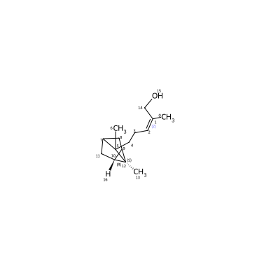 C/C(=C/CCC1(C)C2CC3[C@@H](C2)[C@]31C)CO